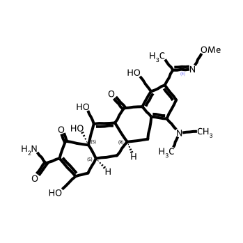 CO/N=C(\C)c1cc(N(C)C)c2c(c1O)C(=O)C1=C(O)[C@]3(O)C(=O)C(C(N)=O)=C(O)C[C@@H]3C[C@@H]1C2